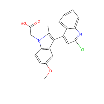 COc1ccc2c(c1)c(-c1cc(Cl)nc3ccccc13)c(C)n2CC(=O)O